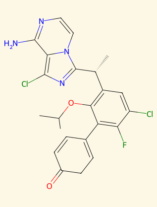 CC(C)Oc1c([C@@H](C)c2nc(Cl)c3c(N)nccn23)cc(Cl)c(F)c1C1=CCC(=O)C=C1